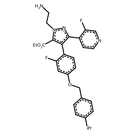 CCOC(=O)c1c(-c2ccc(OCc3ccc(C(C)C)cc3)cc2F)c(-c2ccncc2F)nn1CCN